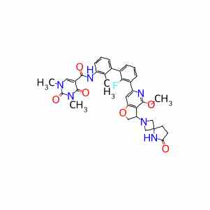 COc1nc(-c2cccc(-c3cccc(NC(=O)c4cn(C)c(=O)n(C)c4=O)c3C)c2F)cc2c1C(N1CC3(CCC(=O)N3)C1)CO2